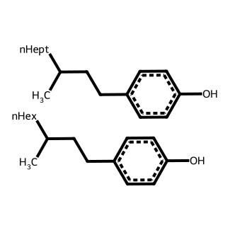 CCCCCCC(C)CCc1ccc(O)cc1.CCCCCCCC(C)CCc1ccc(O)cc1